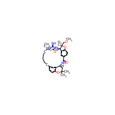 CC[C@]12CCCCCc3ccc4c(c3)[C@H](CC(C)(C)O4)NC(=O)c3ccc4c(c3)[C@H](N(C(=N)N1)C(=O)C2)[C@](C)(COC)O4